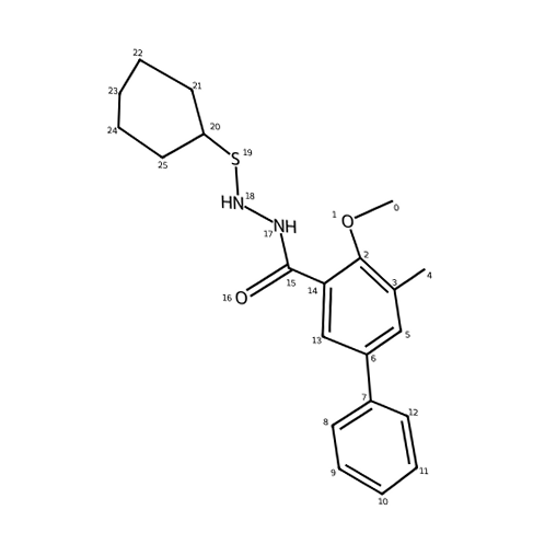 COc1c(C)cc(-c2ccccc2)cc1C(=O)NNSC1CCCCC1